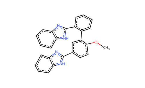 COc1ccc(-c2nc3ccccc3[nH]2)cc1-c1ccccc1-c1nc2ccccc2[nH]1